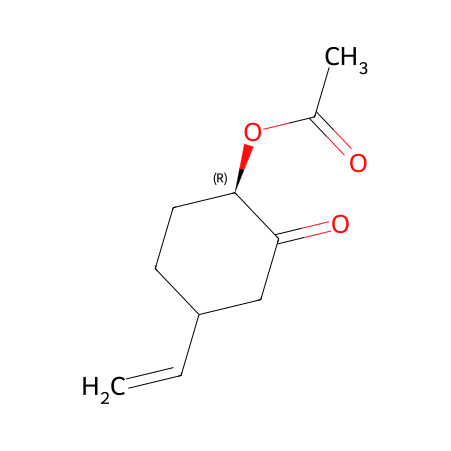 C=CC1CC[C@@H](OC(C)=O)C(=O)C1